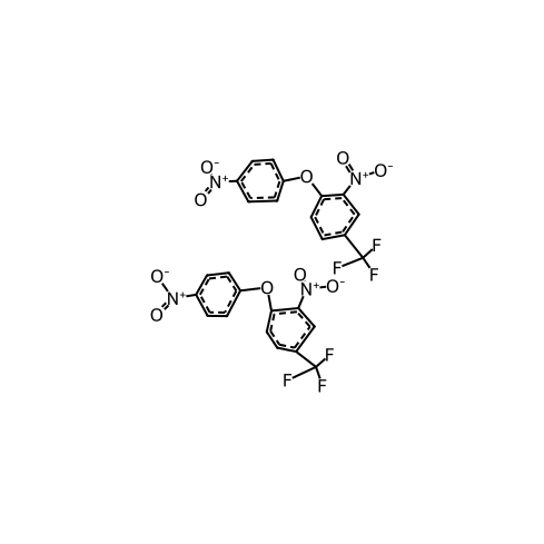 O=[N+]([O-])c1ccc(Oc2ccc(C(F)(F)F)cc2[N+](=O)[O-])cc1.O=[N+]([O-])c1ccc(Oc2ccc(C(F)(F)F)cc2[N+](=O)[O-])cc1